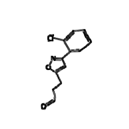 O=CCCc1cc(-c2ccccc2Cl)no1